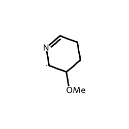 COC1[CH]N=CCC1